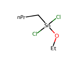 CCC[CH2][Sn]([Cl])([Cl])[O]CC